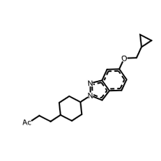 CC(=O)CCC1CCC(n2cc3ccc(OCC4CC4)cc3n2)CC1